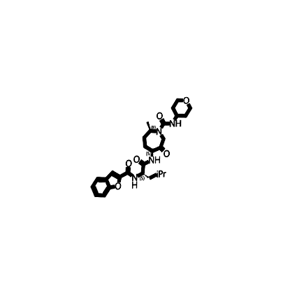 CC(C)C[C@H](NC(=O)c1cc2ccccc2o1)C(=O)N[C@H]1CC[C@@H](C)N(C(=O)NC2CCOCC2)CC1=O